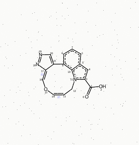 O=C(O)c1cc2cccc3c2n1C/C=C\O/C=C1/N=NC=C13